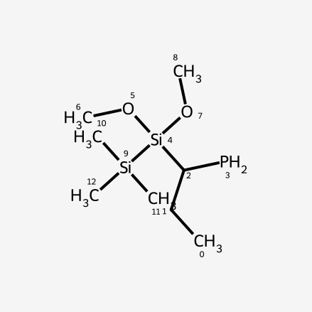 CCC(P)[Si](OC)(OC)[Si](C)(C)C